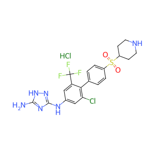 Cl.Nc1nc(Nc2cc(Cl)c(-c3ccc(S(=O)(=O)C4CCNCC4)cc3)c(C(F)(F)F)c2)n[nH]1